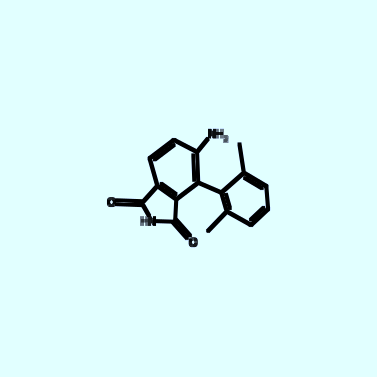 Cc1cccc(C)c1-c1c(N)ccc2c1C(=O)NC2=O